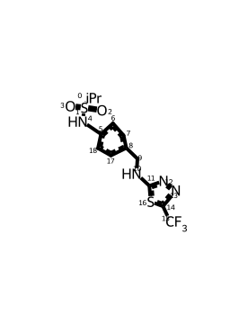 CC(C)S(=O)(=O)Nc1ccc(CNc2nnc(C(F)(F)F)s2)cc1